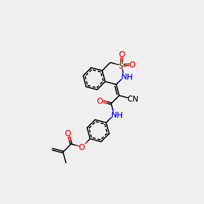 C=C(C)C(=O)Oc1ccc(NC(=O)C(C#N)=C2NS(=O)(=O)Cc3ccccc32)cc1